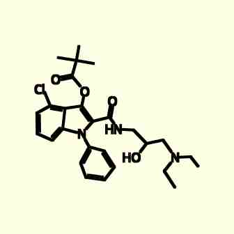 CCN(CC)CC(O)CNC(=O)c1c(OC(=O)C(C)(C)C)c2c(Cl)cccc2n1-c1ccccc1